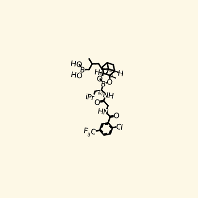 CC(C)C[C@H](NC(=O)CNC(=O)c1cc(C(F)(F)F)ccc1Cl)B1O[C@@H]2CC3C[C@H]([C@]2(C)O1)[C@]3(C)CCC(C)CB(O)O